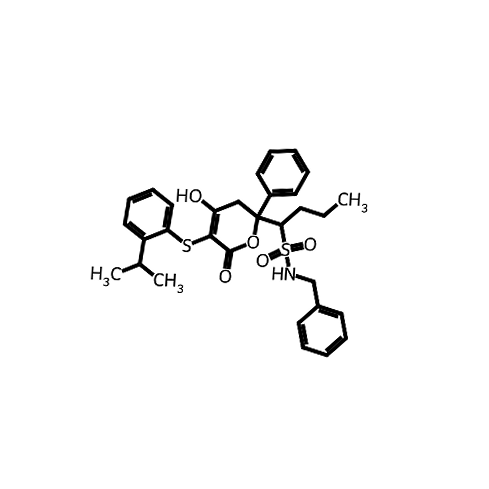 CCCC(C1(c2ccccc2)CC(O)=C(Sc2ccccc2C(C)C)C(=O)O1)S(=O)(=O)NCc1ccccc1